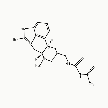 CC(=O)NC(=O)NCC1C[C@@H]2c3cccc4[nH]c(Br)c(c34)C[C@H]2N(C)C1